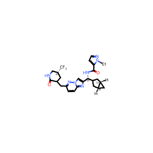 CCn1nccc1C(=O)N[C@@H](c1cn2nc(CC3C[C@@H](C(F)(F)F)CNC3=O)ccc2n1)C1C[C@@H]2C[C@@H]2C1